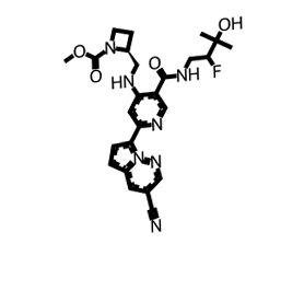 COC(=O)N1CC[C@H]1CNc1cc(-c2ccc3cc(C#N)cnn23)ncc1C(=O)NCC(F)C(C)(C)O